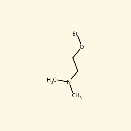 C[CH]OCCN(C)C